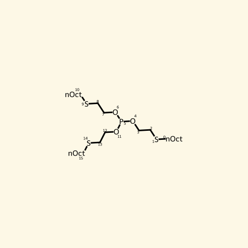 CCCCCCCCSCCOP(OCCSCCCCCCCC)OCCSCCCCCCCC